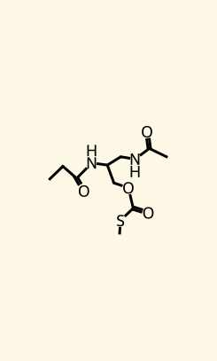 CCC(=O)NC(CNC(C)=O)COC(=O)SC